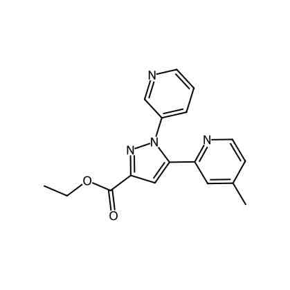 CCOC(=O)c1cc(-c2cc(C)ccn2)n(-c2cccnc2)n1